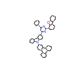 c1ccc(-c2cc(-c3ccc4c(c3)c3ccccc3n4-c3ccc4c5ccccc5c5ccccc5c4c3)nc(-c3cccc4c3oc3ccccc34)n2)cc1